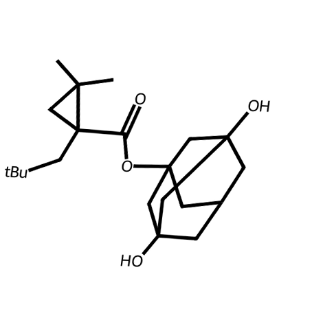 CC(C)(C)CC1(C(=O)OC23CC4CC(O)(CC(O)(C4)C2)C3)CC1(C)C